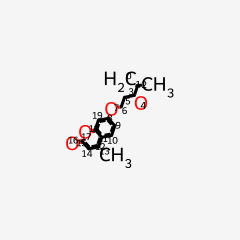 C=C(C)C(=O)CCOc1ccc2c(C)cc(=O)oc2c1